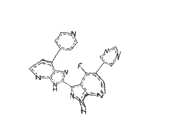 Fc1c(-c2cncnc2)cnc2[nH]nc(-c3nc4c(-c5ccncc5)ccnc4[nH]3)c12